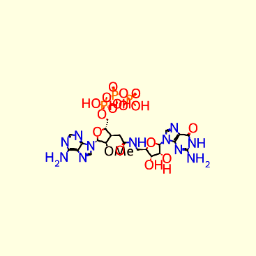 CO[C@@H]1[C@H](CC(=O)NC[C@H]2O[C@@H](n3cnc4c(=O)[nH]c(N)nc43)[C@H](O)[C@@H]2O)[C@@H](COP(=O)(O)OP(=O)(O)OP(=O)(O)O)O[C@H]1n1cnc2c(N)ncnc21